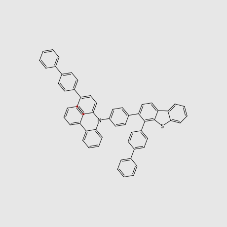 c1ccc(-c2ccc(-c3ccc(N(c4ccc(-c5ccc6c(sc7ccccc76)c5-c5ccc(-c6ccccc6)cc5)cc4)c4ccccc4-c4ccccc4)cc3)cc2)cc1